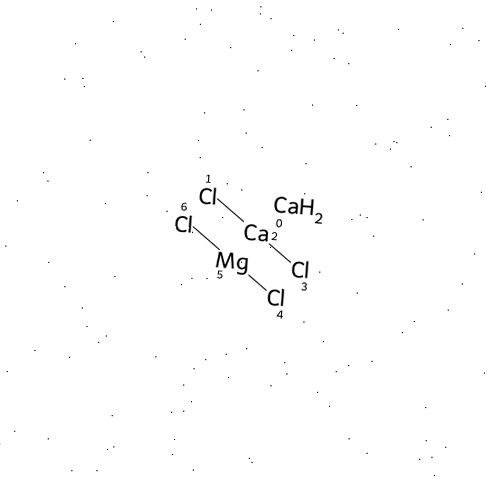 [CaH2].[Cl][Ca][Cl].[Cl][Mg][Cl]